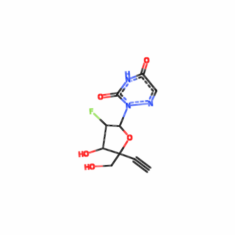 C#CC1(CO)OC(n2ncc(=O)[nH]c2=O)C(F)C1O